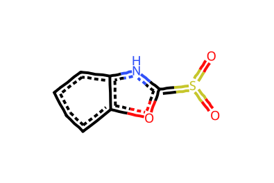 O=S(=O)=c1[nH]c2ccccc2o1